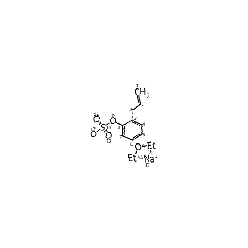 C=CCc1ccccc1OS(=O)(=O)[O-].CCOCC.[Na+]